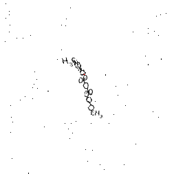 CC1CCC(c2ccc(OC(=O)C3CCC(C(=O)Oc4ccc(N5CCN(C)CC5)cc4)CC3)cc2)CC1